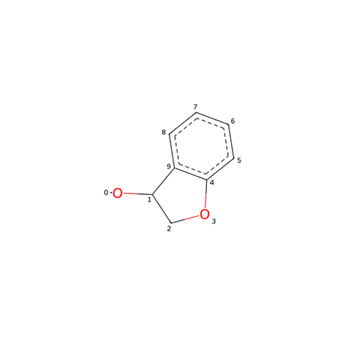 [O]C1COc2ccccc21